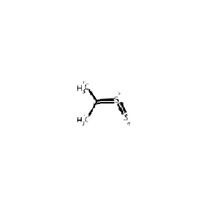 CC(C)=S=S